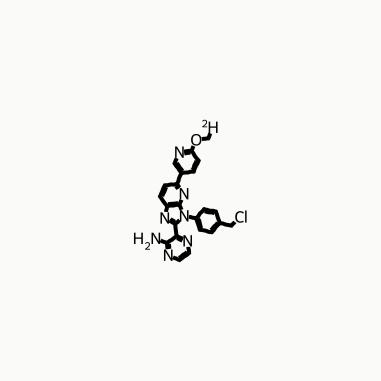 [2H]COc1ccc(-c2ccc3nc(-c4nccnc4N)n(-c4ccc(CCl)cc4)c3n2)cn1